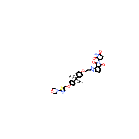 CC(C)(c1ccc(OCCCNc2cccc3c2C(=O)N(C2CCC(=O)NC2=O)C3=O)cc1)c1ccc(OCc2cnc(N3CCOCC3)s2)cc1